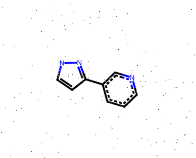 C1=CC(c2cccnc2)=N[N]1